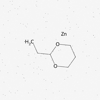 [CH2]CC1OCCCO1.[Zn]